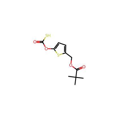 CC(C)(C)C(=O)OCc1ccc(OC(=O)S)s1